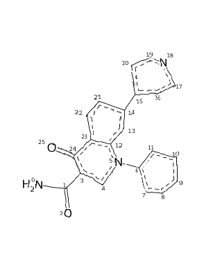 NC(=O)c1cn(-c2ccccc2)c2cc(-c3ccncc3)ccc2c1=O